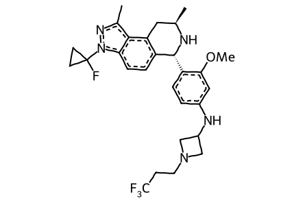 COc1cc(NC2CN(CCC(F)(F)F)C2)ccc1[C@H]1N[C@H](C)Cc2c1ccc1c2c(C)nn1C1(F)CC1